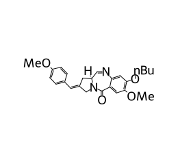 CCCCOc1cc2c(cc1OC)C(=O)N1CC(=Cc3ccc(OC)cc3)C[C@H]1C=N2